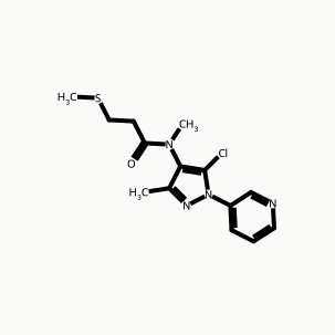 CSCCC(=O)N(C)c1c(C)nn(-c2cccnc2)c1Cl